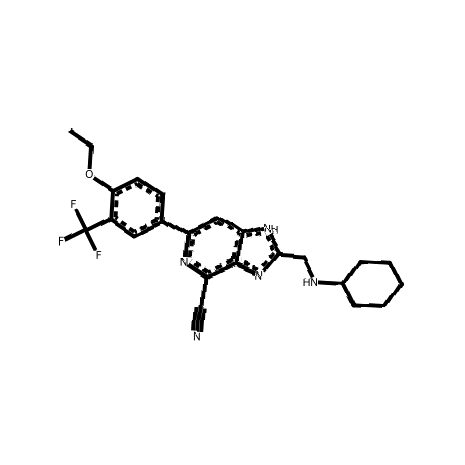 CCOc1ccc(-c2cc3[nH]c(CNC4CCCCC4)nc3c(C#N)n2)cc1C(F)(F)F